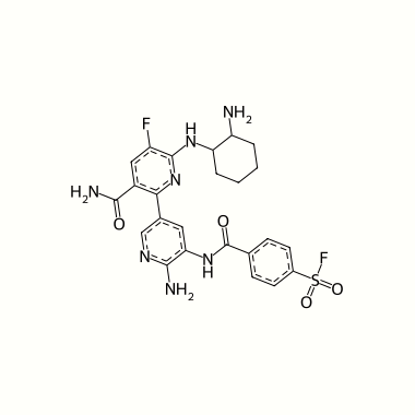 NC(=O)c1cc(F)c(NC2CCCCC2N)nc1-c1cnc(N)c(NC(=O)c2ccc(S(=O)(=O)F)cc2)c1